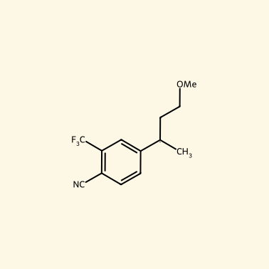 COCC[C](C)c1ccc(C#N)c(C(F)(F)F)c1